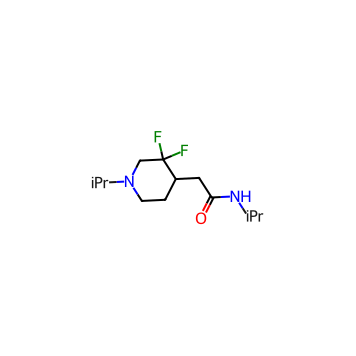 CC(C)NC(=O)CC1CCN(C(C)C)CC1(F)F